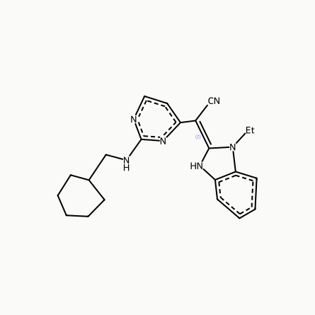 CCN1/C(=C(\C#N)c2ccnc(NCC3CCCCC3)n2)Nc2ccccc21